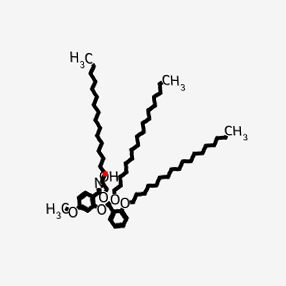 CCCCCCCCCCCCCCCCCCOc1ccccc1C(OCCCCCCCCCCCCCCCCCC)(OCCCCCCCCCCCCCCCCCC)Oc1cc(OC)ccc1C=NO